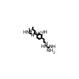 CC1C=C(c2ccc(CC=NNC(=N)N)cc2)N=C2N[N+]21C.Cl.I